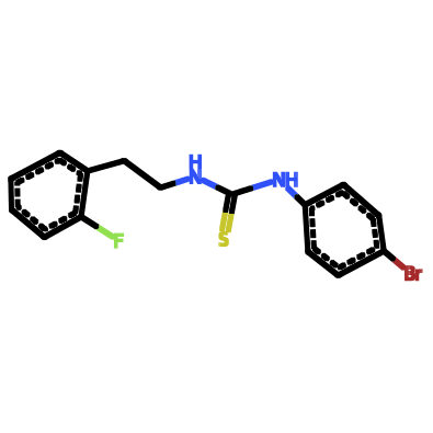 Fc1ccccc1CCNC(=S)Nc1ccc(Br)cc1